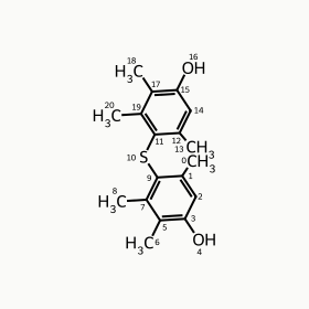 Cc1cc(O)c(C)c(C)c1Sc1c(C)cc(O)c(C)c1C